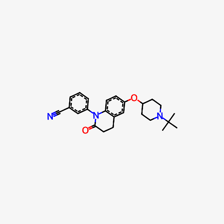 CC(C)(C)N1CCC(Oc2ccc3c(c2)CCC(=O)N3c2cccc(C#N)c2)CC1